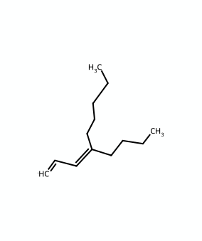 [CH]=CC=C(CCCC)CCCCC